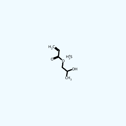 C=CC(=O)OCC(C)O.[4SH2]